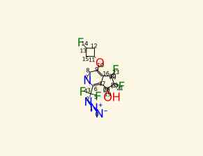 [N-]=[N+]=NC(F)(F)c1ncc(OC2CC(F)C2)c2c1[C@H](O)[C@H](F)[C@@H]2F